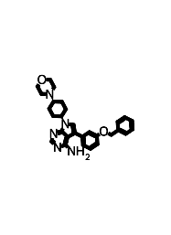 Nc1ncnc2c1c(-c1cccc(OCc3ccccc3)c1)cn2[C@H]1CC[C@@H](N2CCOCC2)CC1